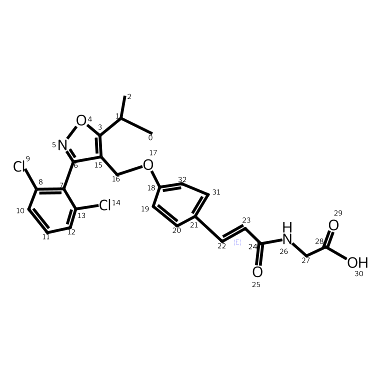 CC(C)c1onc(-c2c(Cl)cccc2Cl)c1COc1ccc(/C=C/C(=O)NCC(=O)O)cc1